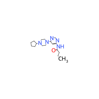 CCCC(=O)Nc1cc(N2CCN(C3CCCC3)CC2)ncn1